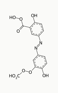 O=C(O)OOc1cc(/N=N/c2ccc(O)c(C(=O)OO)c2)ccc1O